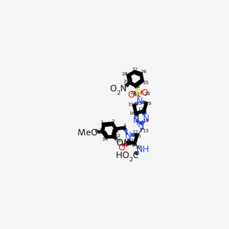 COc1ccc(CN2C(=O)[C@@H](NC(=O)O)[C@H]2Cn2nc3c(n2)CN(S(=O)(=O)c2ccccc2[N+](=O)[O-])C3)c(OC)c1